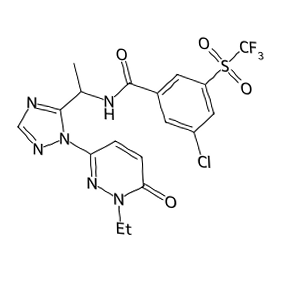 CCn1nc(-n2ncnc2C(C)NC(=O)c2cc(Cl)cc(S(=O)(=O)C(F)(F)F)c2)ccc1=O